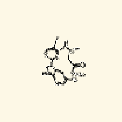 CNC(=O)C[C@H](C)Nc1nc(-c2c[nH]c3ncc(Cl)cc23)ncc1F